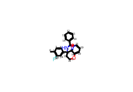 Cc1ccc([C@@]2(NC(=O)c3ccccc3)CCOc3cccnc32)cc1F